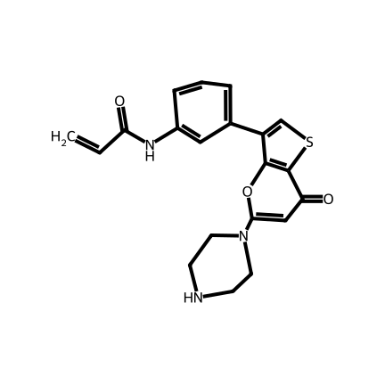 C=CC(=O)Nc1cccc(-c2csc3c(=O)cc(N4CCNCC4)oc23)c1